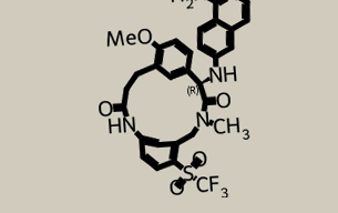 COc1ccc2cc1CCC(=O)Nc1ccc(S(=O)(=O)C(F)(F)F)c(c1)CN(C)C(=O)[C@@H]2Nc1ccc2c(N)nccc2c1